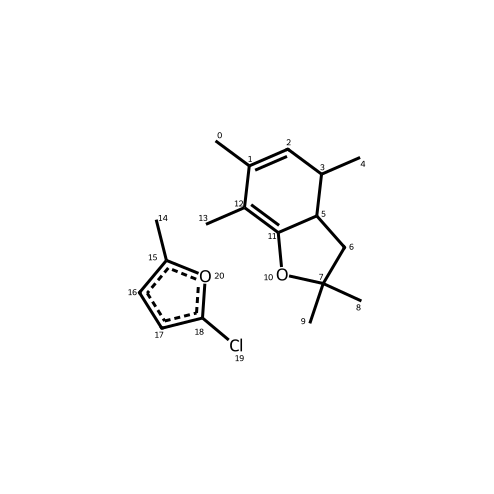 CC1=CC(C)C2CC(C)(C)OC2=C1C.Cc1ccc(Cl)o1